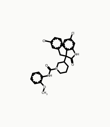 COc1ccccc1NC(=O)N1CCCC(C2(Cc3cccc(Cl)c3)C(=O)Nc3cc(Cl)ccc32)C1